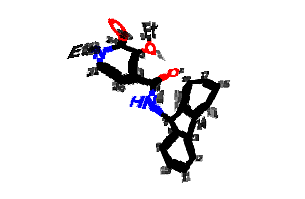 CCOc1c(C(=O)NC2c3ccccc3-c3ccccc32)ccn(CC)c1=O